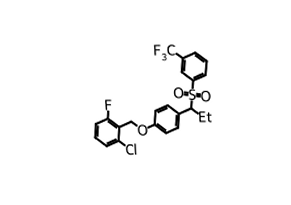 CCC(c1ccc(OCc2c(F)cccc2Cl)cc1)S(=O)(=O)c1cccc(C(F)(F)F)c1